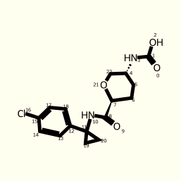 O=C(O)N[C@@H]1CC[C@@H](C(=O)NC2(c3ccc(Cl)cc3)CC2)OC1